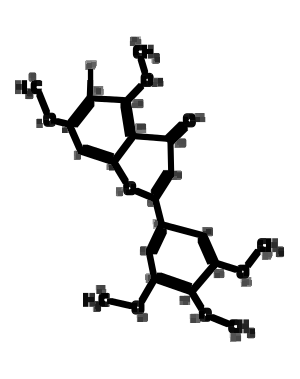 COc1cc2oc(-c3cc(OC)c(OC)c(OC)c3)cc(=O)c2c(OC)c1I